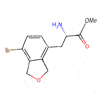 COC(=O)[C@@H](N)Cc1ccc(Br)c2c1COC2